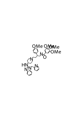 COc1ccc(C(CCN2CCC(Nc3nc4ccccc4n3Cc3ccccn3)CC2)CN(C)C(=O)c2cc(OC)c(OC)c(OC)c2)cc1